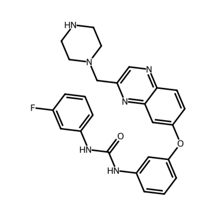 O=C(Nc1cccc(F)c1)Nc1cccc(Oc2ccc3ncc(CN4CCNCC4)nc3c2)c1